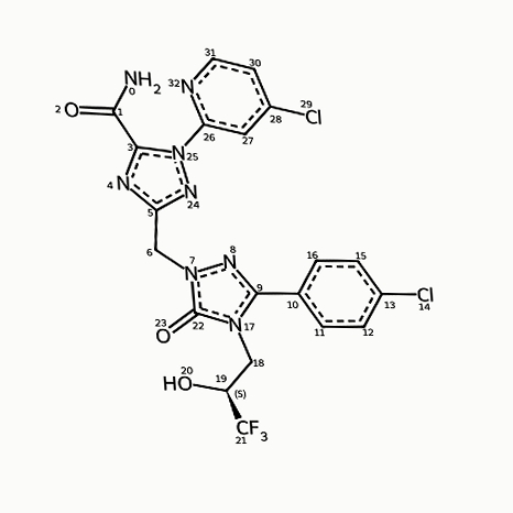 NC(=O)c1nc(Cn2nc(-c3ccc(Cl)cc3)n(C[C@H](O)C(F)(F)F)c2=O)nn1-c1cc(Cl)ccn1